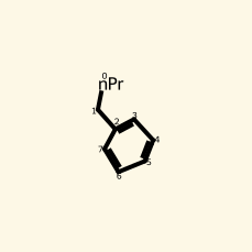 CCCCc1c[c]ccc1